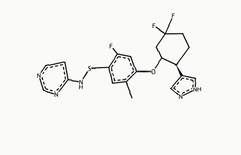 Cc1cc(SNc2ccncn2)c(F)cc1OC1CC(F)(F)CC[C@H]1c1cn[nH]c1